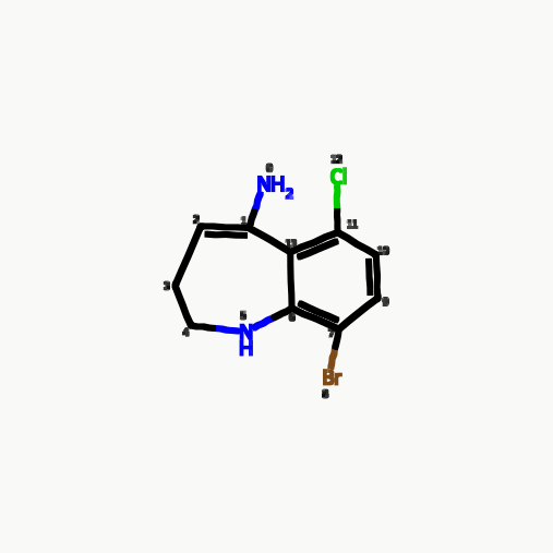 NC1=CCCNc2c(Br)ccc(Cl)c21